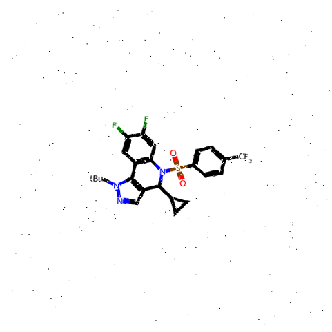 CC(C)(C)n1ncc2c1-c1cc(F)c(F)cc1N(S(=O)(=O)c1ccc(C(F)(F)F)cc1)C2C1CC1